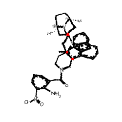 Cc1nc2ccccc2n1C1C[C@H]2CC[C@@H](C1)N2CCC1(c2ccccc2)CCN(C(=O)c2cccc([N+](=O)[O-])c2N)CC1